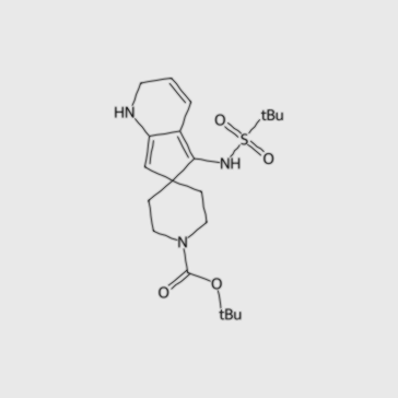 CC(C)(C)OC(=O)N1CCC2(C=C3NCC=CC3=C2NS(=O)(=O)C(C)(C)C)CC1